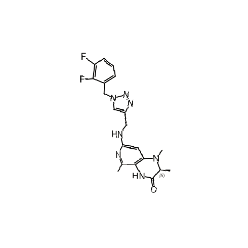 Cc1nc(NCc2cn(Cc3cccc(F)c3F)nn2)cc2c1NC(=O)[C@H](C)N2C